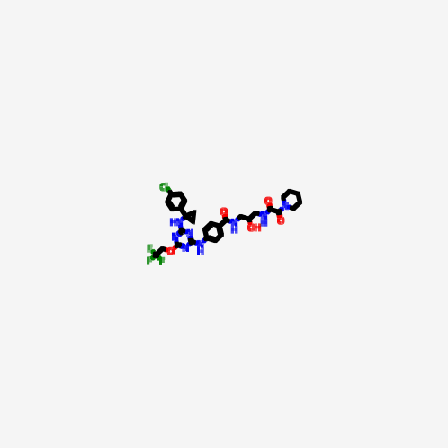 O=C(NCC(O)CNC(=O)c1ccc(Nc2nc(NC3(c4ccc(Cl)cc4)CC3)nc(OCC(F)(F)F)n2)cc1)C(=O)N1CCCCC1